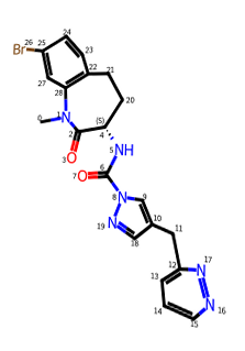 CN1C(=O)[C@@H](NC(=O)n2cc(Cc3cccnn3)cn2)CCc2ccc(Br)cc21